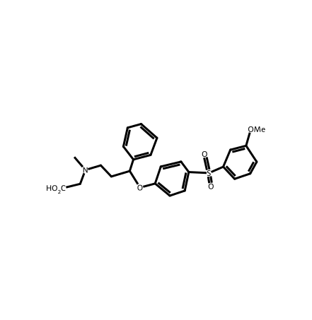 COc1cccc(S(=O)(=O)c2ccc(OC(CCN(C)CC(=O)O)c3ccccc3)cc2)c1